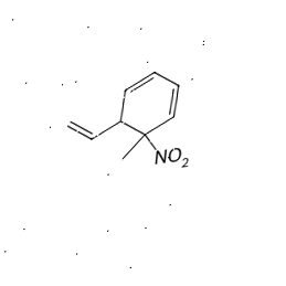 C=CC1C=CC=CC1(C)[N+](=O)[O-]